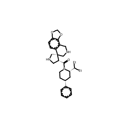 CCC(CC)[C@@H]1C[C@H](c2ccccc2)CCN1C(=O)[C@@H]1CNC[C@]12CNCc1c2ccc2c1OCO2